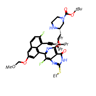 CCSc1nc2c(F)c(-c3cc(OCOC)cc4ccc(F)c(C#C[Si](C(C)C)(C(C)C)C(C)C)c34)nc(OCC[C@H]3CN(C(=O)OC(C)(C)C)CCN3)c2c(=O)[nH]1